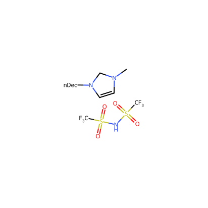 CCCCCCCCCCN1C=CN(C)C1.O=S(=O)(NS(=O)(=O)C(F)(F)F)C(F)(F)F